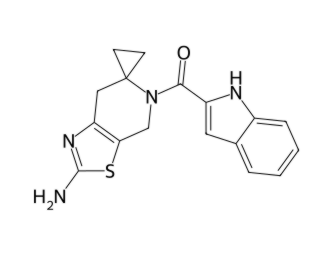 Nc1nc2c(s1)CN(C(=O)c1cc3ccccc3[nH]1)C1(CC1)C2